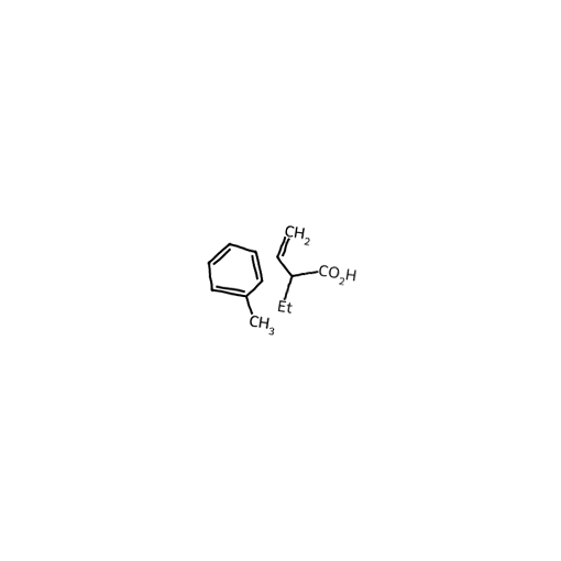 C=CC(CC)C(=O)O.Cc1ccccc1